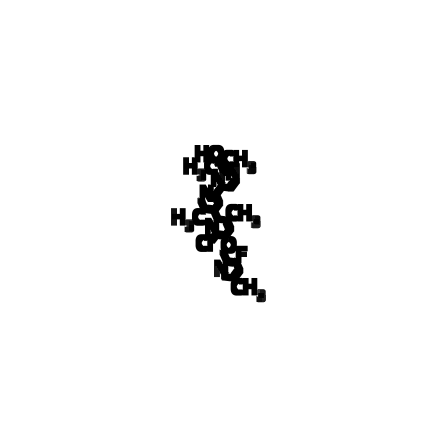 Cc1cnc(COc2cc(C)c(-c3cc(-c4ccnc(C(C)(C)O)n4)ncc3C)nc2Cl)c(F)c1